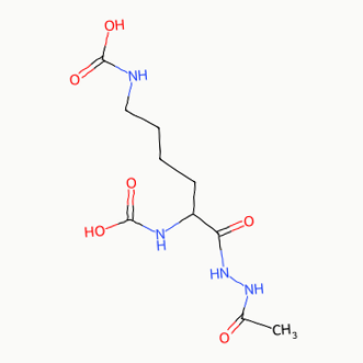 CC(=O)NNC(=O)C(CCCCNC(=O)O)NC(=O)O